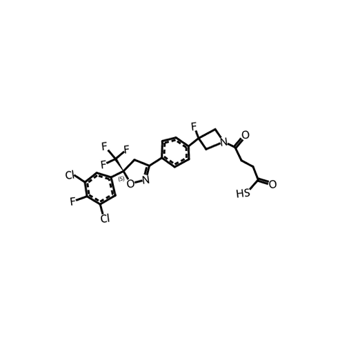 O=C(S)CCC(=O)N1CC(F)(c2ccc(C3=NO[C@@](c4cc(Cl)c(F)c(Cl)c4)(C(F)(F)F)C3)cc2)C1